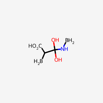 BNC(O)(O)C(B)C(=O)O